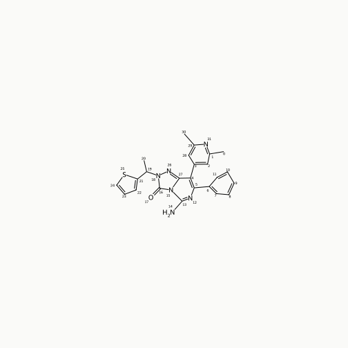 Cc1cc(-c2c(-c3ccccc3)nc(N)n3c(=O)n(C(C)c4cccs4)nc23)cc(C)n1